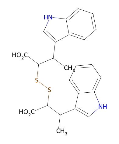 CC(c1c[nH]c2ccccc12)C(SSC(C(=O)O)C(C)c1c[nH]c2ccccc12)C(=O)O